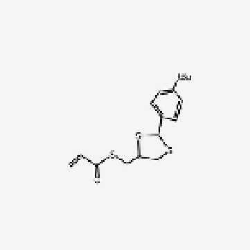 C=CC(=O)SCC1CSC(c2ccc(C(C)(C)C)cc2)S1